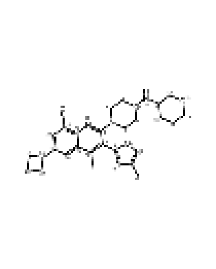 Cc1noc(-c2c(N3CCC(NC4CCCOC4)CC3)nc3c(F)cc(C4CCC4)cc3c2C)n1